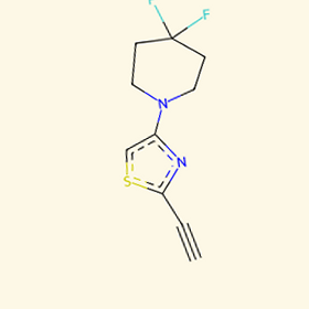 C#Cc1nc(N2CCC(F)(F)CC2)cs1